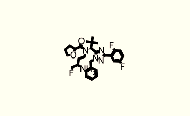 CC(C)(C)[C@H](c1nc(-c2cc(F)ccc2F)nn1Cc1ccccc1)N(CCC(N)CF)C(=O)C1CCCO1